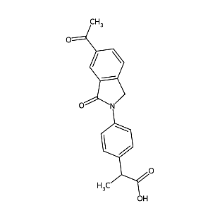 CC(=O)c1ccc2c(c1)C(=O)N(c1ccc(C(C)C(=O)O)cc1)C2